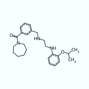 CC(C)Oc1ccccc1NCCNCc1cccc(C(=O)N2CCCCCC2)c1